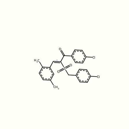 Cc1ccc(C)c(/C=C(/C(=O)c2ccc(Cl)cc2)S(=O)(=O)Cc2ccc(Cl)cc2)c1